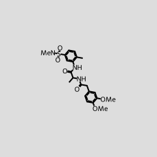 CNS(=O)(=O)c1ccc(C)c(NC(=O)C(C)NC(=O)Cc2ccc(OC)c(OC)c2)c1